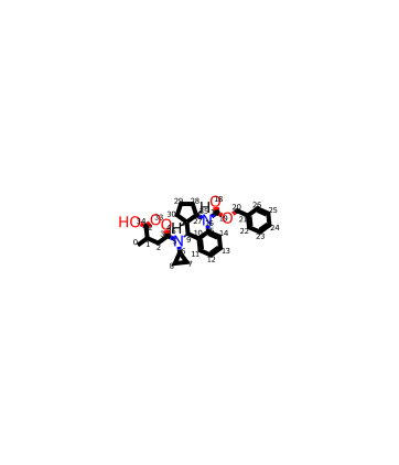 CC(CC(=O)N(C1CC1)[C@H]1c2ccccc2N(C(=O)OCc2ccccc2)[C@@H]2CCC[C@@H]21)C(=O)O